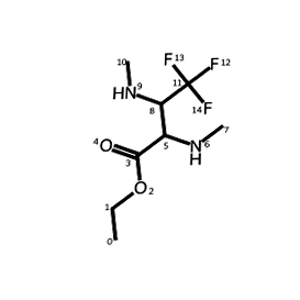 CCOC(=O)C(NC)C(NC)C(F)(F)F